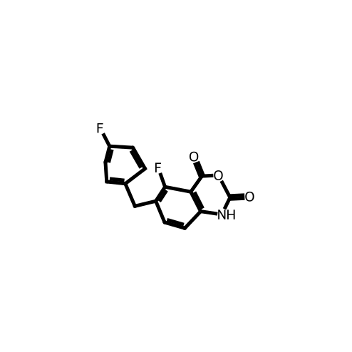 O=c1[nH]c2ccc(Cc3ccc(F)cc3)c(F)c2c(=O)o1